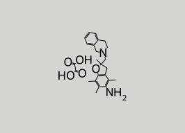 Cc1c(C)c2c(c(C)c1N)CC(C)(CN1CCc3ccccc3C1)O2.O=C(O)C(=O)O